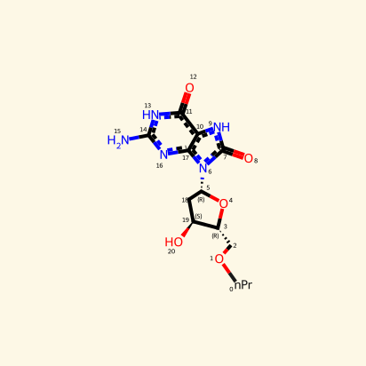 CCCOC[C@H]1O[C@@H](n2c(=O)[nH]c3c(=O)[nH]c(N)nc32)C[C@@H]1O